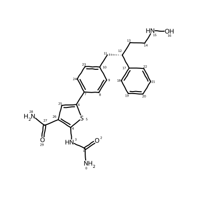 NC(=O)Nc1sc(-c2ccc(C[C@H](CCNO)c3ccccc3)cc2)cc1C(N)=O